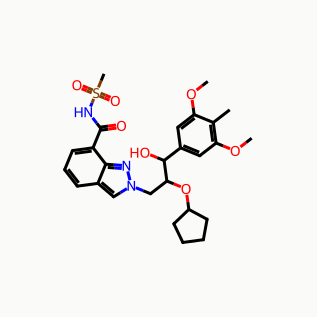 COc1cc(C(O)C(Cn2cc3cccc(C(=O)NS(C)(=O)=O)c3n2)OC2CCCC2)cc(OC)c1C